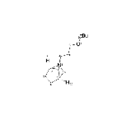 CC(C)(C)OCCCN1C[C@H]2CC[C@@H]1C2